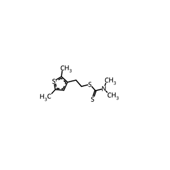 Cc1cc(CCSC(=S)N(C)C)c(C)s1